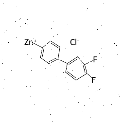 Fc1ccc(-c2cc[c]([Zn+])cc2)cc1F.[Cl-]